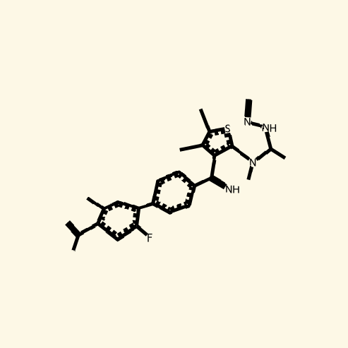 C=NNC(C)N(C)c1sc(C)c(C)c1C(=N)c1ccc(-c2cc(C)c(C(=C)C)cc2F)cc1